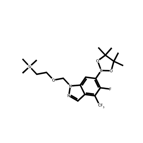 CC1(C)OB(c2cc3c(cnn3COCC[Si](C)(C)C)c(C(F)(F)F)c2F)OC1(C)C